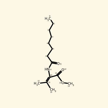 CCCCCCCC(=O)NC(C(=O)OC)=C(C)C